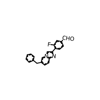 O=Cc1ccc(-c2cn3cc(Cc4ccccc4)ccc3n2)c(F)c1